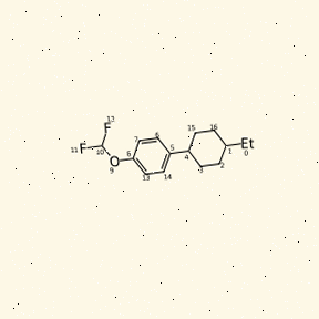 CCC1CCC(c2ccc(OC(F)F)cc2)CC1